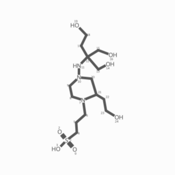 O=S(=O)(O)CCCN1CCN(NC(CO)(CO)CCO)CC1CCO